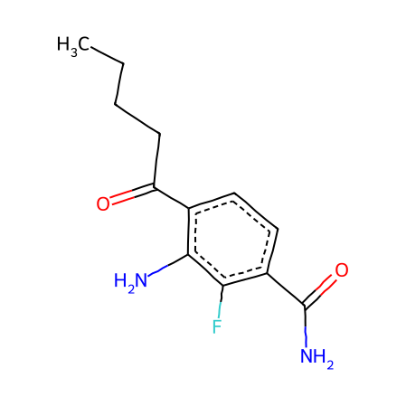 CCCCC(=O)c1ccc(C(N)=O)c(F)c1N